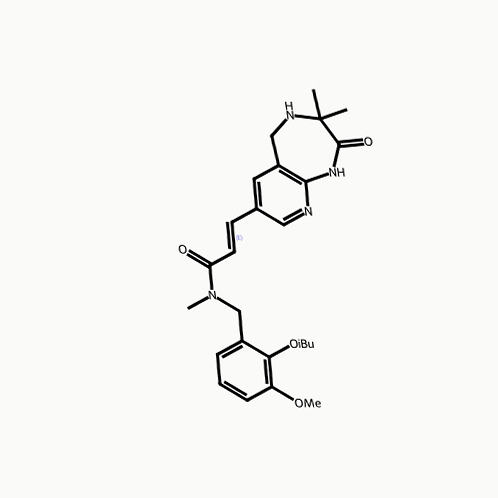 COc1cccc(CN(C)C(=O)/C=C/c2cnc3c(c2)CNC(C)(C)C(=O)N3)c1OCC(C)C